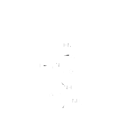 C[C@H](N)C(=O)N[C@H]1CC[C@@H]2CC[C@@H](C(=O)NCc3ccccc3)N2C1=O